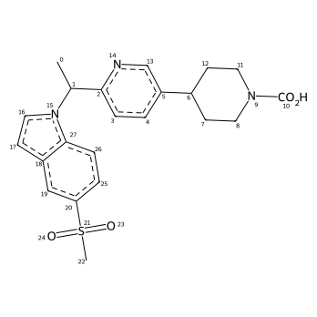 CC(c1ccc(C2CCN(C(=O)O)CC2)cn1)n1ccc2cc(S(C)(=O)=O)ccc21